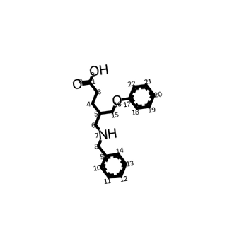 O=C(O)CCC(CNCc1ccccc1)COc1ccccc1